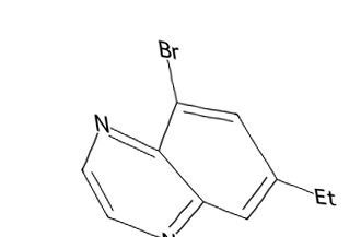 CCc1cc(Br)c2nccnc2c1